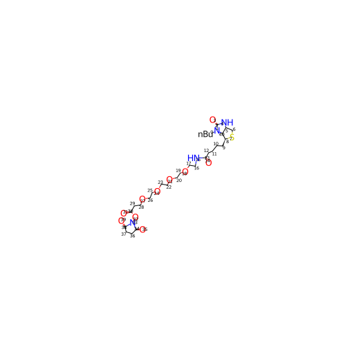 CCCCN1C(=O)NC2CS[C@@H](CCCCC(=O)NCCOCCOCCOCCOCCC(=O)ON3C(=O)CCC3=O)C21